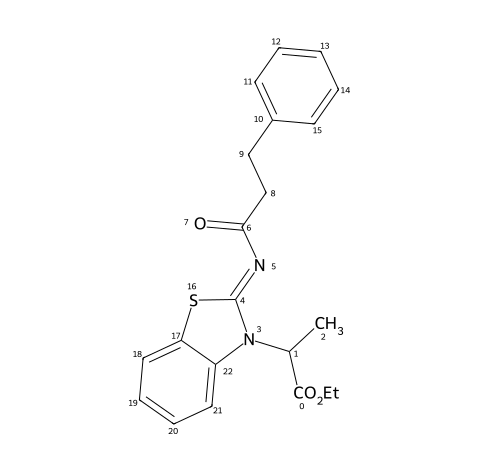 CCOC(=O)C(C)n1c(=NC(=O)CCc2ccccc2)sc2ccccc21